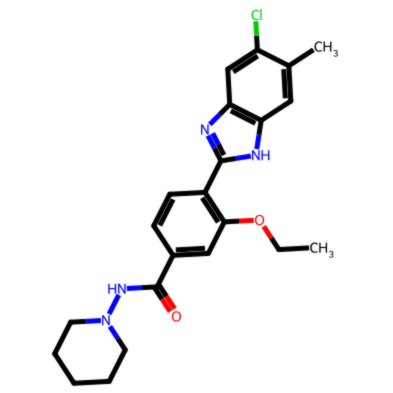 CCOc1cc(C(=O)NN2CCCCC2)ccc1-c1nc2cc(Cl)c(C)cc2[nH]1